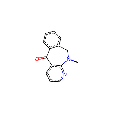 CN1Cc2ccccc2C(=O)c2cccnc21